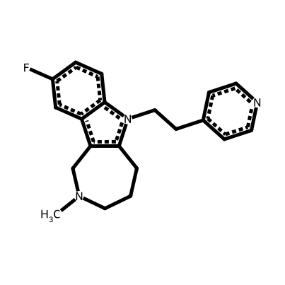 CN1CCCc2c(c3cc(F)ccc3n2CCc2ccncc2)C1